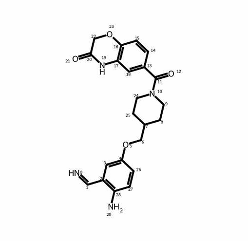 N=Cc1cc(OCC2CCN(C(=O)c3ccc4c(c3)NC(=O)CO4)CC2)ccc1N